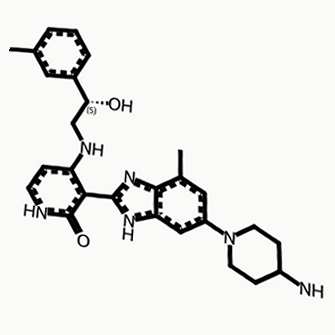 Cc1cc(N2CCC(N)CC2)cc2[nH]c(-c3c(NC[C@@H](O)c4cccc(Cl)c4)cc[nH]c3=O)nc12